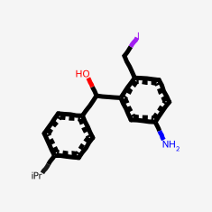 CC(C)c1ccc(C(O)c2cc(N)ccc2CI)cc1